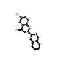 O=c1cc(-c2cc3ccccc3cn2)oc2ccc(O)cc12